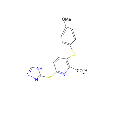 COc1ccc(Sc2ccc(Sc3nnc[nH]3)nc2C(=O)O)cc1